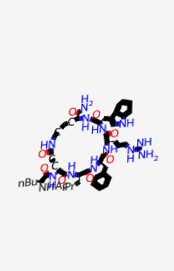 CCCC[C@H](NC(C)=O)C(=O)N[C@H]1CCC(=O)NCCCC[C@@H](C(N)=O)NC(=O)[C@H](Cc2c[nH]c3ccccc23)NC(=O)[C@H](CCCNC(=N)N)NC(=O)[C@@H](Cc2ccccc2)NC(=O)[C@H](CC(C)C)NC1=O